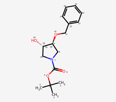 CC(C)(C)OC(=O)N1C[C@H](OCc2ccccc2)[C@@H](O)C1